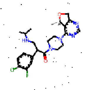 CC(C)NCC(C(=O)N1CCN(c2ncnc3c2[C@H](C)OC3)CC1)c1ccc(Cl)c(F)c1